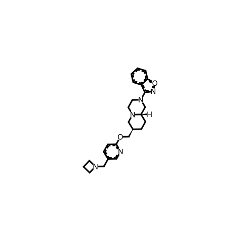 c1ccc2c(N3CCN4C[C@H](COc5ccc(CN6CCC6)cn5)CC[C@H]4C3)noc2c1